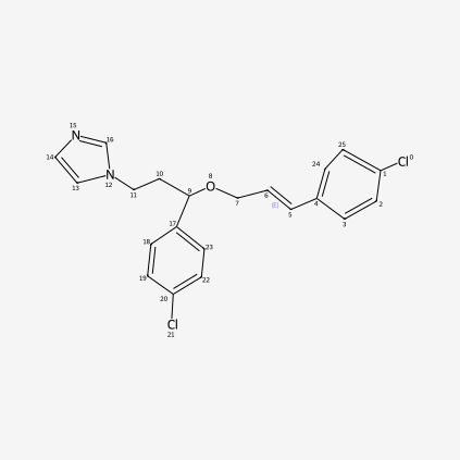 Clc1ccc(/C=C/COC(CCn2ccnc2)c2ccc(Cl)cc2)cc1